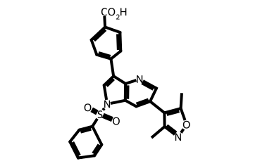 Cc1noc(C)c1-c1cnc2c(-c3ccc(C(=O)O)cc3)cn(S(=O)(=O)c3ccccc3)c2c1